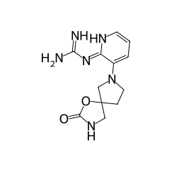 N=C(N)/N=c1\[nH]cccc1N1CCC2(CNC(=O)O2)C1